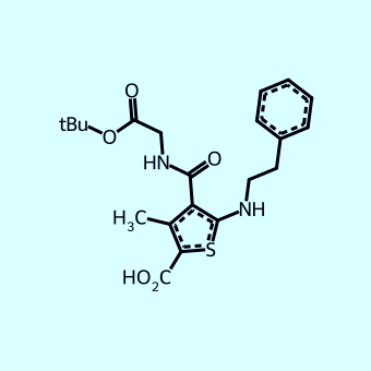 Cc1c(C(=O)O)sc(NCCc2ccccc2)c1C(=O)NCC(=O)OC(C)(C)C